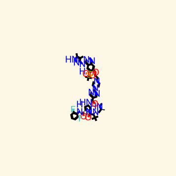 CN[C@@H](C)CN[C@H](C(=O)N1C[C@@H](NC(=O)c2cnc(N3CCN(CCOc4cc5ncnc(Nc6n[nH]c(C)c6C)c5cc4S(=O)(=O)C(C)(C)C)CC3)nc2)C[C@H]1C(=O)Nc1c(F)cccc1F)C(C)(C)C